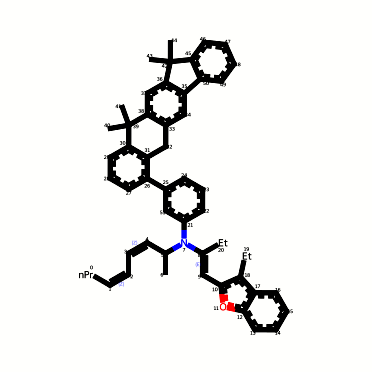 CCC/C=C\C=C/C(C)N(/C(=C/c1oc2ccccc2c1CC)CC)c1cccc(-c2cccc3c2Cc2cc4c(cc2C3(C)C)C(C)(C)c2ccccc2-4)c1